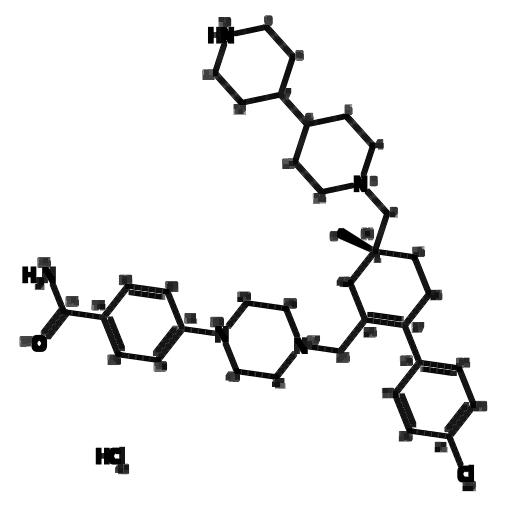 C[C@@]1(CN2CCC(C3CCNCC3)CC2)CCC(c2ccc(Cl)cc2)=C(CN2CCN(c3ccc(C(N)=O)cc3)CC2)C1.Cl